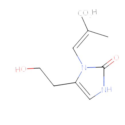 CC(=Cn1c(CCO)c[nH]c1=O)C(=O)O